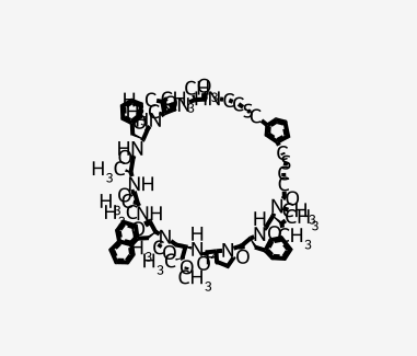 CO[C@H](C)[C@@H]1NC(=O)[C@@H]2CCCN2C(=O)[C@H](Cc2ccccc2)NC(=O)[C@H](C(C)C)N(C)C(=O)CCSCc2cccc(c2)CSCCNC(=O)[C@H](C)NC(=O)[C@](C)(C(C)C)NC(=O)[C@H](Cc2ccccc2)NC(=O)[C@H](C)NC(=O)C(C)(C)NC(=O)[C@H](Cc2cccc3ccccc23)N(C)C1=O